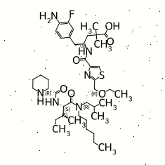 CCCCCCN(C(=O)[C@@H](NC(=O)[C@H]1CCCCN1)[C@@H](C)CC)[C@H](C[C@@H](OCC)c1nc(C(=O)N[C@@H](Cc2ccc(N)c(F)c2)CC(C)(C)C(=O)O)cs1)C(C)C